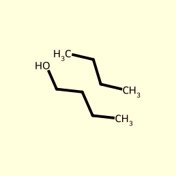 CCCC.CCCCO